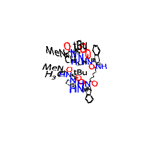 CN[C@@H](C)C(=O)N[C@H](C(=O)N1CCC[C@H]1C(=O)N[C@H]1c2ccccc2C[C@@H]1NC(=O)CCCCC(=O)N[C@H]1Cc2ccccc2[C@@H]1NC(=O)[C@@H]1CCCN1C(=O)[C@@H](NC(=O)[C@H](C)NC)C(C)(C)C)C(C)(C)C